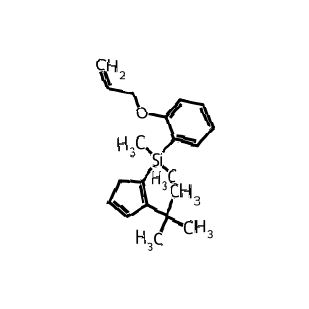 C=CCOc1ccccc1[Si](C)(C)C1=C(C(C)(C)C)C=CC1